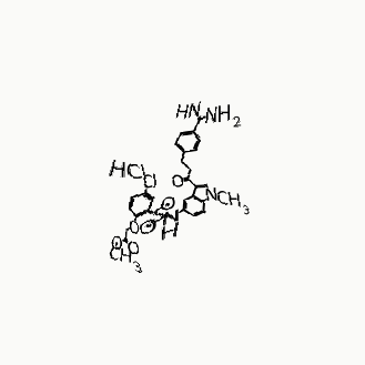 COC(=O)COc1ccc(Cl)cc1S(=O)(=O)Nc1ccc2c(c1)c(C(=O)CCc1ccc(C(=N)N)cc1)cn2C.Cl